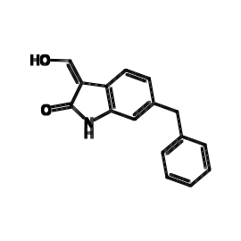 O=C1Nc2cc(Cc3ccccc3)ccc2C1=CO